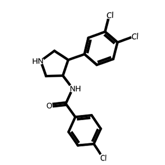 O=C(NC1CNCC1c1ccc(Cl)c(Cl)c1)c1ccc(Cl)cc1